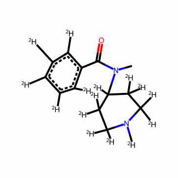 [2H]c1c([2H])c([2H])c(C(=O)N(C)C2([2H])C([2H])([2H])C([2H])([2H])N([2H])C([2H])([2H])C2([2H])[2H])c([2H])c1[2H]